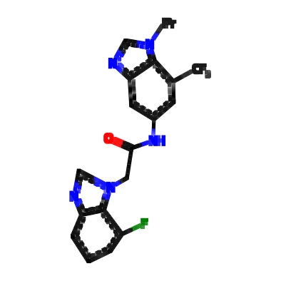 CC(C)n1cnc2cc(NC(=O)Cn3cnc4cccc(F)c43)cc(C(F)(F)F)c21